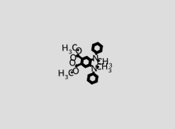 COC(=O)c1cc(N(C)c2ccccc2)c(N(C)c2ccccc2)cc1C(=O)OC